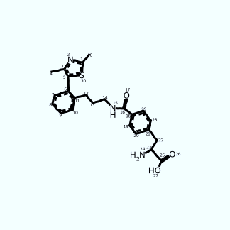 Cc1nc(C)c(-c2ccccc2CCCNC(=O)c2ccc(CC(N)C(=O)O)cc2)s1